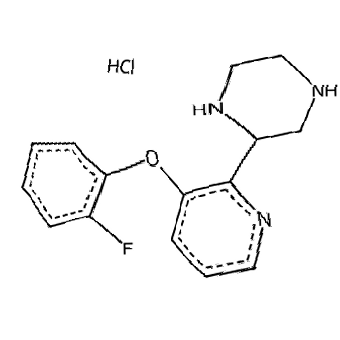 Cl.Fc1ccccc1Oc1cccnc1C1CNCCN1